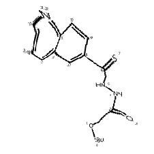 CC(C)(C)OC(=O)NNC(=S)c1ccc2ncccc2c1